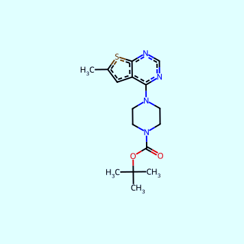 Cc1cc2c(N3CCN(C(=O)OC(C)(C)C)CC3)ncnc2s1